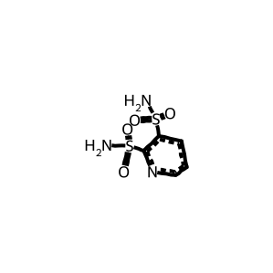 NS(=O)(=O)c1cccnc1S(N)(=O)=O